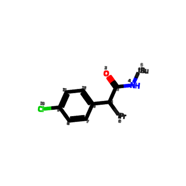 CC(C)C(C(=O)NC(C)(C)C)c1ccc(Cl)cc1